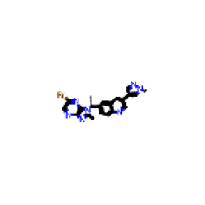 Cc1nc2ncc(Br)nc2n1[C@@H](C)c1ccc2ncc(-c3cnn(C)c3)cc2c1